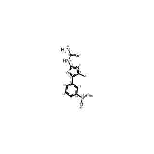 Cc1nc(NC(N)=S)sc1-c1cccc([N+](=O)[O-])c1